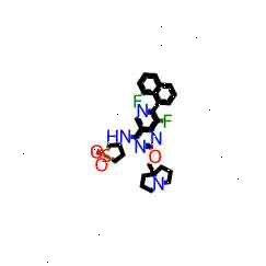 O=S1(=O)CCC(Nc2nc(OCC34CCCN3CCC4)nc3c(F)c(-c4cccc5cccc(F)c45)ncc23)C1